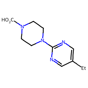 CCc1cnc(N2CCN(C(=O)O)CC2)nc1